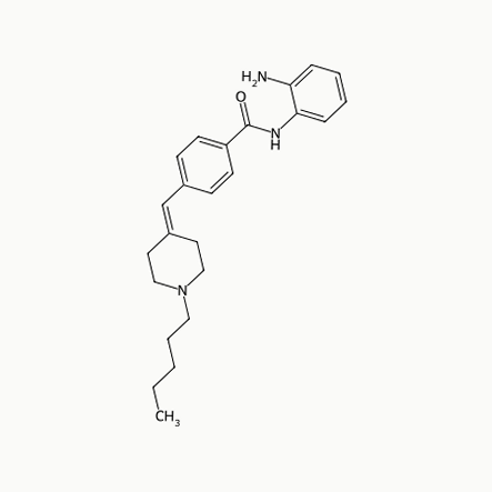 CCCCCN1CCC(=Cc2ccc(C(=O)Nc3ccccc3N)cc2)CC1